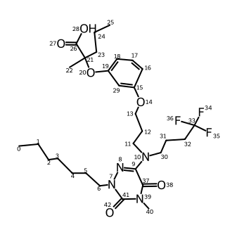 CCCCCCCn1nc(N(CCCOc2cccc(OC(C)(CCC)C(=O)O)c2)CCCC(F)(F)F)c(=O)n(C)c1=O